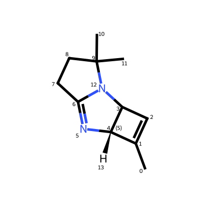 CC1=CC2[C@H]1N=C1CCC(C)(C)N12